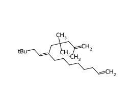 C=CCCCCCCC(=CCC(C)(C)C)CC(C)(C)CC(=C)C